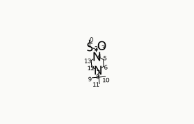 CSC(=O)N1CCN(C(C)(C)C)CC1